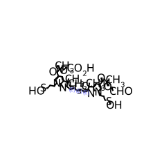 CN(OCC=O)C(=O)C1=CN(CCCSO)C2=N/C(=C/C=C/C=C/C3=NC4C(=CC(C(=O)N(C)OCC(=O)O)=CN4CCCSO)C3(C)C)C(C)(C)C2=C1